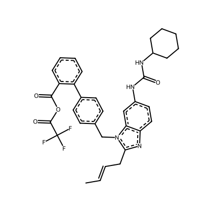 CC=CCc1nc2ccc(NC(=O)NC3CCCCC3)cc2n1Cc1ccc(-c2ccccc2C(=O)OC(=O)C(F)(F)F)cc1